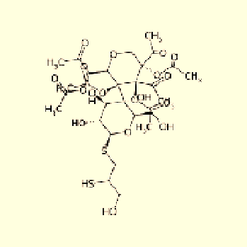 CC(=O)OC(C(C)=O)[C@H]1OC[C@@](OC(C)=O)(C(C)=O)[C@](OC(C)=O)(C(C)=O)[C@]1(OC(C)=O)[C@]1(O)[C@H](O)[C@@H](O)[C@H](SCC(S)CO)O[C@@H]1CO